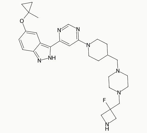 CC1(Oc2ccc3n[nH]c(-c4cc(N5CCC(CN6CCN(CC7(F)CNC7)CC6)CC5)ncn4)c3c2)CC1